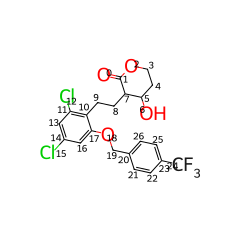 O=C1OCCC(O)C1CCc1c(Cl)cc(Cl)cc1OCc1ccc(C(F)(F)F)cc1